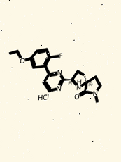 CCOc1ccc(F)c(-c2ccnc([C@H]3CC[C@@]4(CCN(C)C4=O)N3)n2)c1.Cl